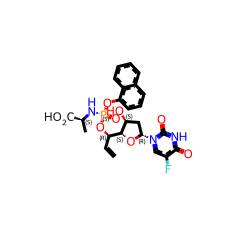 C=C[C@@H](O[P@@](=O)(N[C@@H](C)C(=O)O)Oc1cccc2ccccc12)[C@H]1O[C@@H](n2cc(F)c(=O)[nH]c2=O)C[C@@H]1O